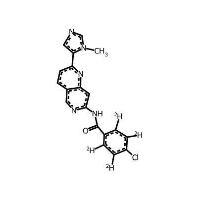 [2H]c1c([2H])c(C(=O)Nc2cc3nc(-c4cncn4C)ccc3cn2)c([2H])c([2H])c1Cl